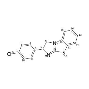 Clc1ccc(C2CN3C(=N2)Sc2ccccc23)cc1